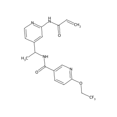 C=CC(=O)Nc1cc(C(C)NC(=O)c2ccc(OCC(F)(F)F)nc2)ccn1